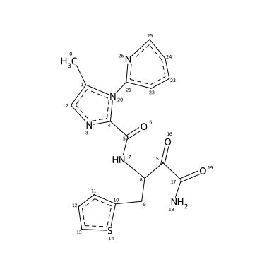 Cc1cnc(C(=O)NC(Cc2cccs2)C(=O)C(N)=O)n1-c1ccccn1